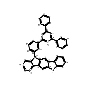 c1ccc(-c2nc(-c3ccccc3)nc(-c3cccc(-n4c5cc6c(cc5c5ncncc54)oc4ccccc46)c3)n2)cc1